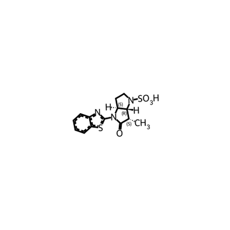 C[C@@H]1C(=O)N(c2nc3ccccc3s2)[C@H]2CCN(S(=O)(=O)O)[C@H]12